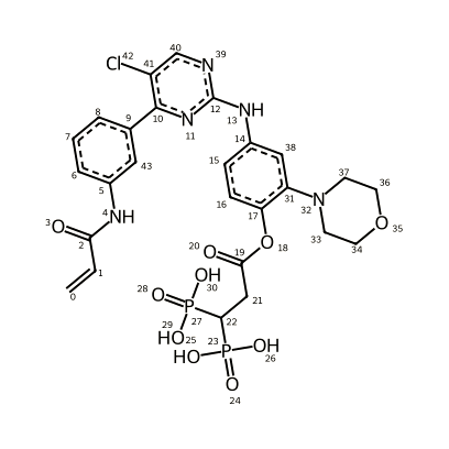 C=CC(=O)Nc1cccc(-c2nc(Nc3ccc(OC(=O)CC(P(=O)(O)O)P(=O)(O)O)c(N4CCOCC4)c3)ncc2Cl)c1